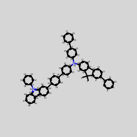 CC1(C)c2cc(-c3ccccc3)ccc2-c2ccc(N(c3ccc(-c4ccccc4)cc3)c3ccc(-c4ccc(-c5ccc6c7ccccc7n(-c7ccccc7)c6c5)cc4)cc3)cc21